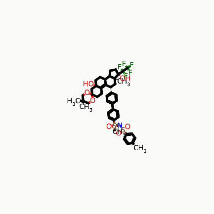 Cc1ccc(S(=O)(=O)N=S(C)(=O)c2ccc(-c3ccc([C@H]4C[C@@]5(C)C(CC[C@@]5(O)C(F)(F)C(F)(F)F)C5CC[C@@]6(O)CC7(CCC6=C54)OCC(C)(C)CO7)cc3)cc2)cc1